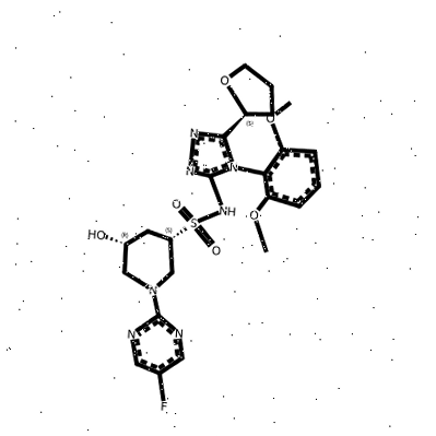 COc1cccc(OC)c1-n1c(NS(=O)(=O)[C@H]2C[C@@H](O)CN(c3ncc(F)cn3)C2)nnc1[C@@H]1CCCO1